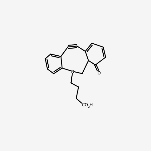 O=C(O)CCCN1CC2C(=O)C=CC=C2C#Cc2ccccc21